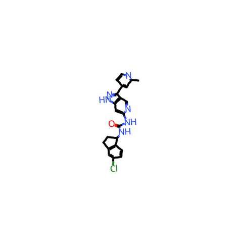 Cc1cc(-c2n[nH]c3cc(NC(=O)NC4CCc5cc(Cl)ccc54)ncc23)ccn1